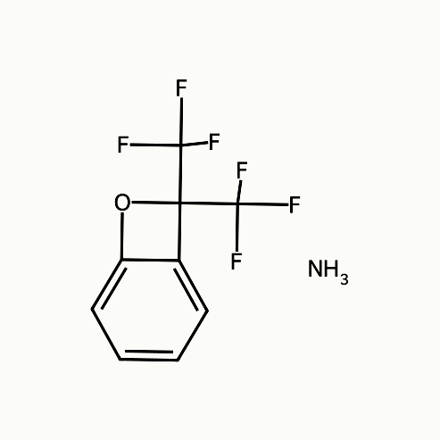 FC(F)(F)C1(C(F)(F)F)Oc2ccccc21.N